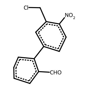 O=Cc1ccccc1-c1ccc([N+](=O)[O-])c(CCl)c1